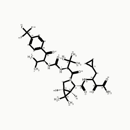 CC(C)[C@H](NC(=O)N[C@H](C(=O)N1C[C@H]2[C@@H]([C@H]1C(=O)NC(CC1CC1)C(=O)C(N)=O)C2(C)C)C(C)(C)C)C(=O)c1ccc(C(F)(F)F)cc1